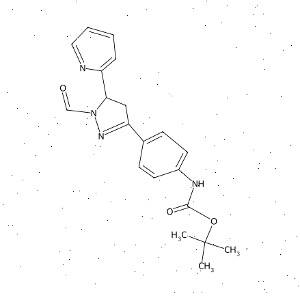 CC(C)(C)OC(=O)Nc1ccc(C2=NN(C=O)C(c3ccccn3)C2)cc1